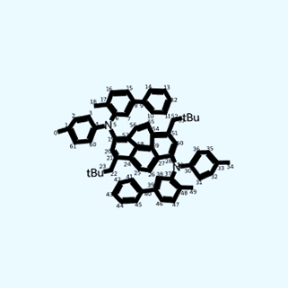 Cc1ccc(N(c2cc(-c3ccccc3)ccc2C)c2cc(CC(C)(C)C)c3ccc4c(N(c5ccc(C)cc5)c5cc(-c6ccccc6)ccc5C)cc(CC(C)(C)C)c5ccc2c3c54)cc1